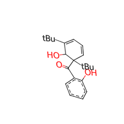 CC(C)(C)C1=CC=CC(C(=O)c2ccccc2O)(C(C)(C)C)C1O